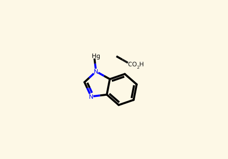 CC(=O)O.[Hg][n]1cnc2ccccc21